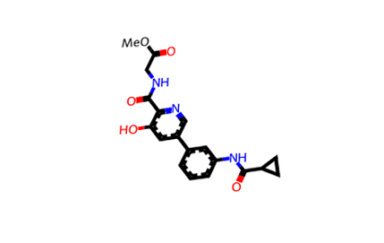 COC(=O)CNC(=O)c1ncc(-c2cccc(NC(=O)C3CC3)c2)cc1O